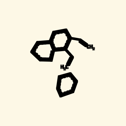 C=Cc1ccc2ccccc2c1C=C.c1ccccc1